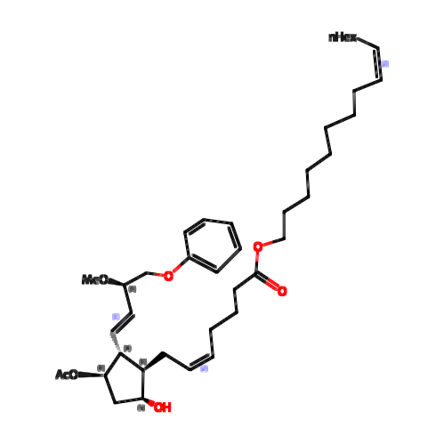 CCCCCC/C=C\CCCCCCCCOC(=O)CCC/C=C\C[C@@H]1[C@@H](/C=C/[C@H](COc2ccccc2)OC)[C@H](OC(C)=O)C[C@@H]1O